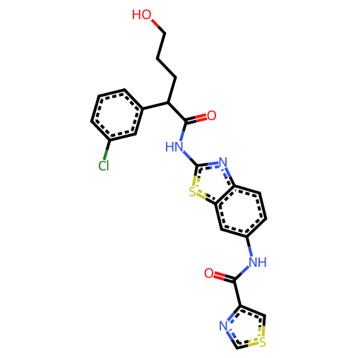 O=C(Nc1ccc2nc(NC(=O)C(CCCO)c3cccc(Cl)c3)sc2c1)c1cscn1